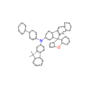 CC1(C)c2ccccc2-c2ccc(N(c3ccc(-c4ccccc4)cc3)c3ccc4c(c3)C3(c5ccccc5Oc5ccccc53)c3cc5ccccc5cc3-4)cc21